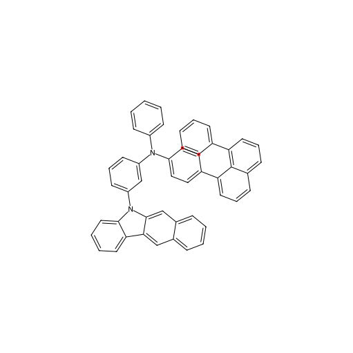 c1ccc(-c2cccc3cccc(-c4ccc(N(c5ccccc5)c5cccc(-n6c7ccccc7c7cc8ccccc8cc76)c5)cc4)c23)cc1